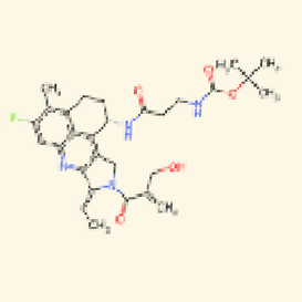 C=C(CO)C(=O)N1Cc2c(nc3cc(F)c(C)c4c3c2[C@@H](NC(=O)CCNC(=O)OC(C)(C)C)CC4)/C1=C/C